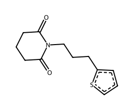 O=C1CCCC(=O)N1CCCc1cccs1